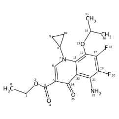 CCOC(=O)c1cn(C2CC2)c2c(OC(C)C)c(F)c(F)c(N)c2c1=O